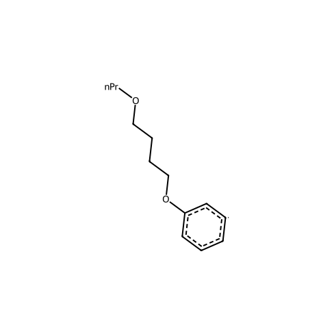 CCCOCCCCOc1c[c]ccc1